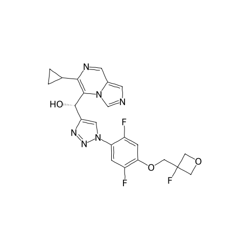 O[C@@H](c1cn(-c2cc(F)c(OCC3(F)COC3)cc2F)nn1)c1c(C2CC2)ncc2cncn12